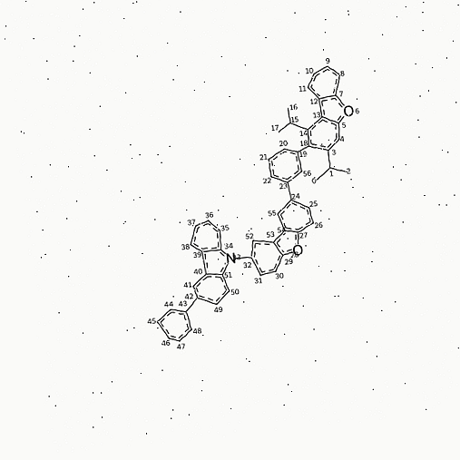 CC(C)c1cc2oc3ccccc3c2c(C(C)C)c1-c1cccc(-c2ccc3oc4ccc(-n5c6ccccc6c6cc(-c7ccccc7)ccc65)cc4c3c2)c1